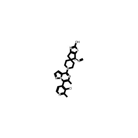 C=N[C@@H]1c2sc(O)nc2CC12CCN(c1nc(C)c(-c3ccnc(C)c3Cl)n3nccc13)CC2